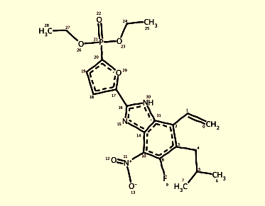 C=Cc1c(CC(C)C)c(F)c([N+](=O)[O-])c2nc(-c3ccc(P(=O)(OCC)OCC)o3)[nH]c12